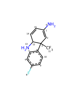 NC1=CC(c2ccc(F)cc2)(C(F)(F)F)C(N)C=C1